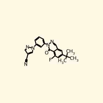 CC(C)(C)c1cc(F)c2c(=O)n(-c3cccc(-n4cc(C#N)cn4)c3)ncc2c1